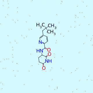 CC(C)(C)Cc1ccc(C(=O)NC2CCC(=O)NC2=O)nc1